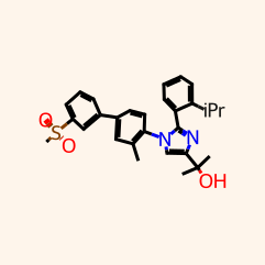 Cc1cc(-c2cccc(S(C)(=O)=O)c2)ccc1-n1cc(C(C)(C)O)nc1-c1ccccc1C(C)C